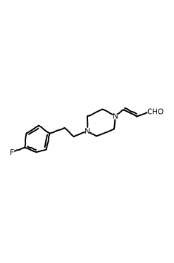 O=CC=CN1CCN(CCc2ccc(F)cc2)CC1